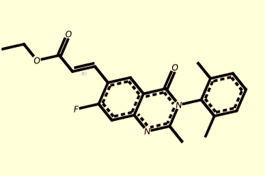 CCOC(=O)/C=C/c1cc2c(=O)n(-c3c(C)cccc3C)c(C)nc2cc1F